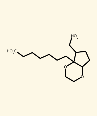 O=C(O)CCCCCCC12OCCOC1CCC2C[N+](=O)[O-]